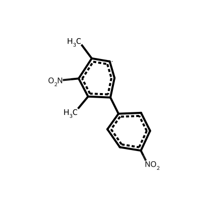 Cc1[c]cc(-c2ccc([N+](=O)[O-])cc2)c(C)c1[N+](=O)[O-]